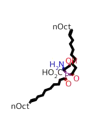 CCCCCCCCC=CCCCCCCCC(=O)P(C(=O)CCCCCCCC=CCCCCCCCC)C(N)(CO)C(=O)O